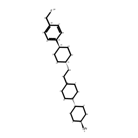 CCC[C@H]1CC[C@H](C2CCC(CC[C@H]3CC[C@H](c4ccc(CF)cc4)CC3)CC2)CC1